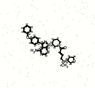 CN(CC=CC(=O)N1CCC[C@@H](n2nc(-c3ccc(Oc4ccccc4)cc3)c3c(N)ncnc32)C1)[C@H]1CCOC1